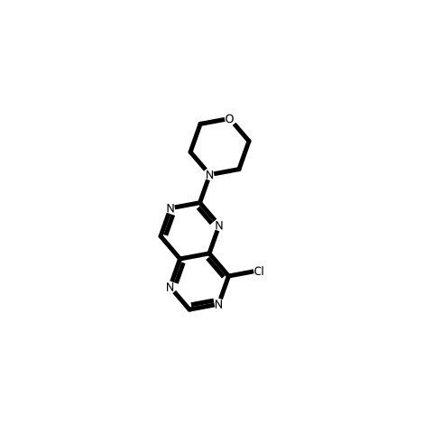 Clc1ncnc2cnc(N3CCOCC3)nc12